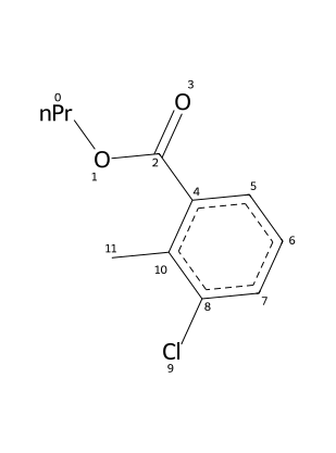 CCCOC(=O)c1cccc(Cl)c1C